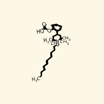 CCCCCCCCCCCON1C(C)(C)CC(c2ccccc2OC(=O)O)CC1(C)C